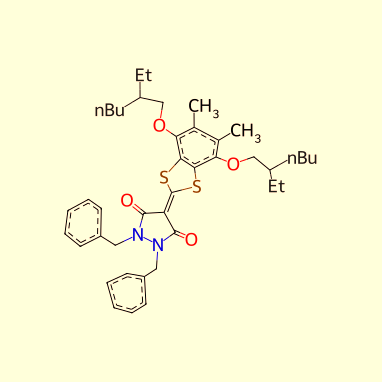 CCCCC(CC)COc1c(C)c(C)c(OCC(CC)CCCC)c2c1SC(=C1C(=O)N(Cc3ccccc3)N(Cc3ccccc3)C1=O)S2